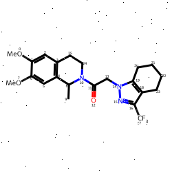 COc1cc2c(cc1OC)C(C)N(C(=O)Cn1nc(C(F)(F)F)c3c1CCCC3)CC2